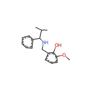 COc1cccc(CNC(c2ccccc2)C(C)C)c1O